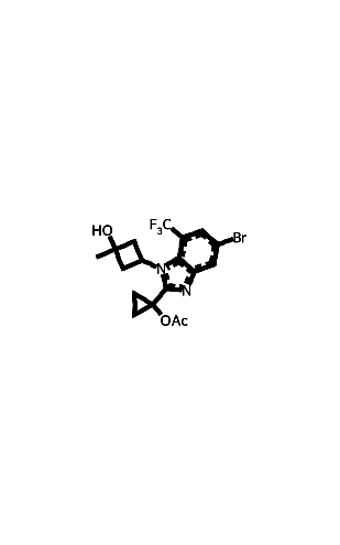 CC(=O)OC1(c2nc3cc(Br)cc(C(F)(F)F)c3n2C2CC(C)(O)C2)CC1